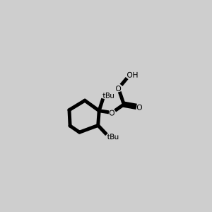 CC(C)(C)C1CCCCC1(OC(=O)OO)C(C)(C)C